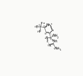 NC1=NC=NC(N)(c2ccnc(C(F)(F)F)c2)N1